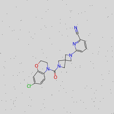 N#Cc1cccc(N2CC3(CN(C(=O)N4CCOc5cc(Cl)ccc54)C3)C2)n1